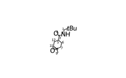 CC(C)(C)CNC(=O)C1CCC2(C)OC2C1